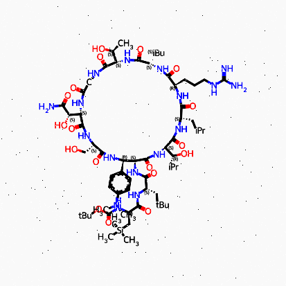 CC[C@H](C)[C@@H]1NC(=O)[C@@H](CCCNC(=N)N)NC(=O)[C@H](CC(C)C)NC(=O)[C@H]([C@H](O)C(C)C)NC(=O)[C@@H](NC(=O)[C@H](CC(C)(C)C)NC(=O)[C@@H](C[Si](C)(C)C)NC(=O)OC(C)(C)C)[C@@H](c2ccc(N(C)C)cc2)NC(=O)[C@H](CO)NC(=O)[C@H]([C@H](O)C(N)=O)NC(=O)CNC(=O)[C@H]([C@H](C)O)NC1=O